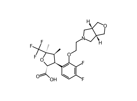 C[C@H]1[C@@H](c2ccc(F)c(F)c2OCCN2C[C@H]3COC[C@H]3C2)[C@H](C(=O)O)O[C@@]1(C)C(F)(F)F